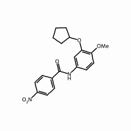 COc1ccc(NC(=O)c2ccc([N+](=O)[O-])cc2)cc1OC1CCCC1